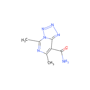 Cc1nc(C)n2nnnc2c1C(N)=O